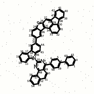 c1ccc(-c2ccc(-c3nc(-n4c5ccccc5c5cc(-c6ccc7sc8cc9c%10c(cccc%10c8c7c6)-c6ccccc6-9)ccc54)nc4c3ccc3ccccc34)cc2)cc1